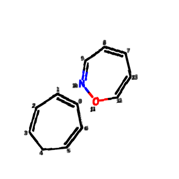 C1=CC=CCC=C1.C1=CC=NOC=C1